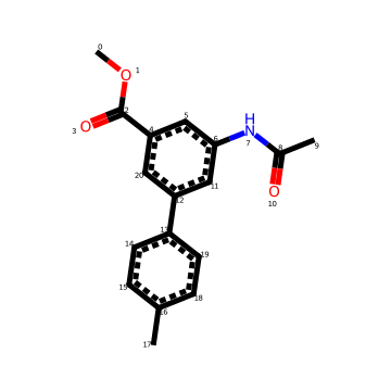 COC(=O)c1cc(NC(C)=O)cc(-c2ccc(C)cc2)c1